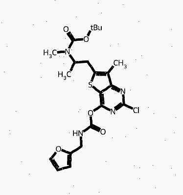 Cc1c(CC(C)N(C)C(=O)OC(C)(C)C)sc2c(OC(=O)NCc3ccco3)nc(Cl)nc12